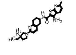 Cc1ccc2c(N)c(C(=O)N[C@H]3CCc4nc(N5CC[C@](N)(CO)C5)ccc4C3)sc2n1